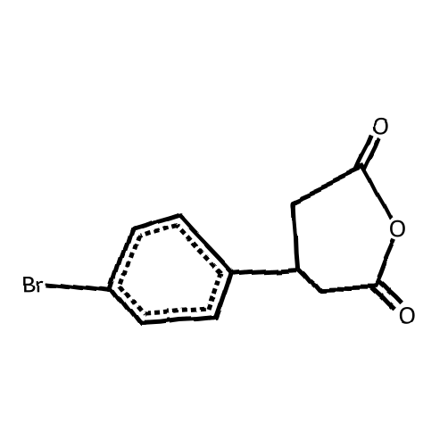 O=C1CC(c2ccc(Br)cc2)CC(=O)O1